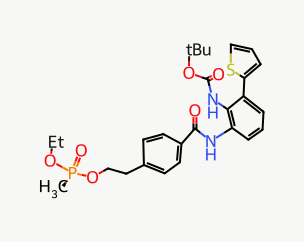 CCO[P@](C)(=O)OCCc1ccc(C(=O)Nc2cccc(-c3cccs3)c2NC(=O)OC(C)(C)C)cc1